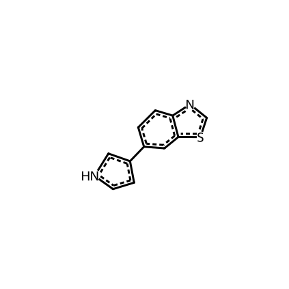 c1cc(-c2ccc3ncsc3c2)c[nH]1